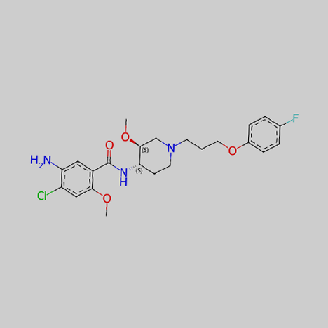 COc1cc(Cl)c(N)cc1C(=O)N[C@H]1CCN(CCCOc2ccc(F)cc2)C[C@@H]1OC